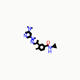 C=C(/C=N\N(C)c1cncc(N(C)C)c1)c1cc(C(=O)NC2CC2)ccc1C